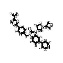 O=c1n(Cc2ccc(-c3nnc(C(F)F)o3)cn2)c2cc(F)c(-c3ccncc3)cc2n1[C@@H]1CCN(C2COC2)C1